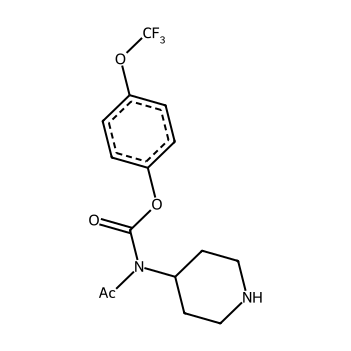 CC(=O)N(C(=O)Oc1ccc(OC(F)(F)F)cc1)C1CCNCC1